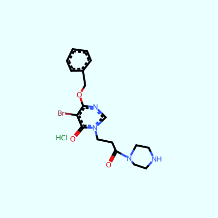 Cl.O=C(CCn1cnc(OCc2ccccc2)c(Br)c1=O)N1CCNCC1